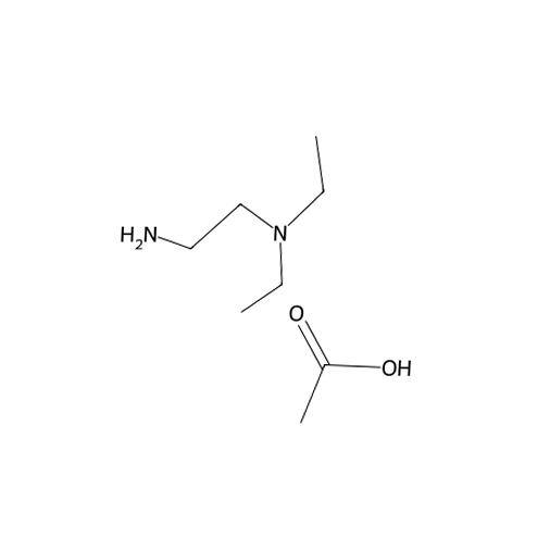 CC(=O)O.CCN(CC)CCN